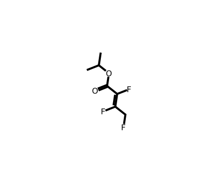 CC(C)OC(=O)C(F)=C(F)CF